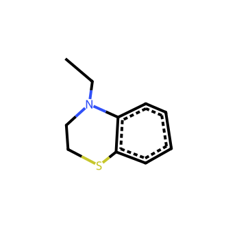 CCN1CCSc2ccccc21